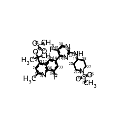 Cc1cc(C(C)(C)OS(C)(=O)=O)c2cc(-c3nc(NC4CCN(S(C)(=O)=O)CC4)ncc3F)cc(F)c2n1